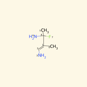 C/C(=C\N)C(C)(N)F